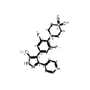 Cc1[nH]nc(-c2ccncc2)c1-c1cc(F)c(N2CCS(=O)(=O)CC2)c(F)c1